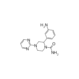 NC(=O)N1CCN(c2ncccn2)CC1c1cccc(N)c1